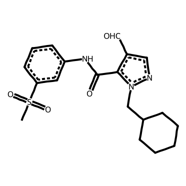 CS(=O)(=O)c1cccc(NC(=O)c2c(C=O)cnn2CC2CCCCC2)c1